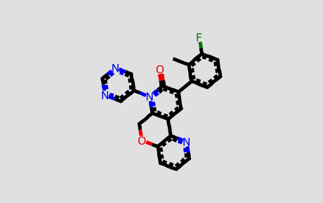 Cc1c(F)cccc1-c1cc2c(n(-c3cncnc3)c1=O)COc1cccnc1-2